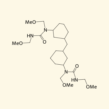 COCNC(=O)N(COC)C1CCCC(CC2CCCC(N(COC)C(=O)NCOC)C2)C1